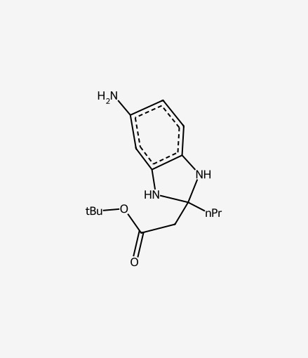 CCCC1(CC(=O)OC(C)(C)C)Nc2ccc(N)cc2N1